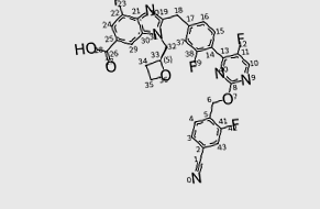 N#Cc1ccc(COc2ncc(F)c(-c3ccc(Cc4nc5c(F)cc(C(=O)O)cc5n4C[C@@H]4CCO4)cc3F)n2)c(F)c1